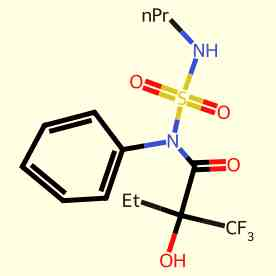 CCCNS(=O)(=O)N(C(=O)C(O)(CC)C(F)(F)F)c1ccccc1